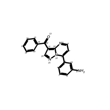 Nc1cccc(-c2ccnc3c(C(=O)c4ccccc4)cnn23)c1